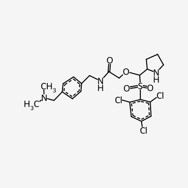 CN(C)Cc1ccc(CNC(=O)COC(C2CCCN2)S(=O)(=O)c2c(Cl)cc(Cl)cc2Cl)cc1